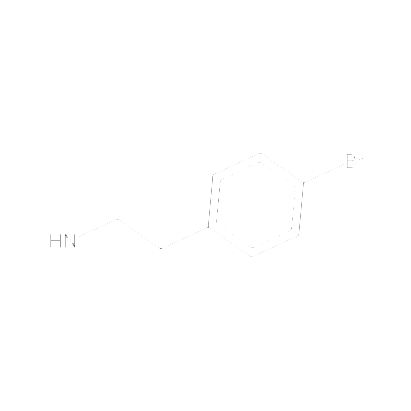 [NH]CCc1ccc(Br)cc1